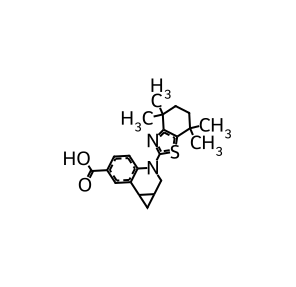 CC1(C)CCC(C)(C)c2sc(N3CC4CC4c4cc(C(=O)O)ccc43)nc21